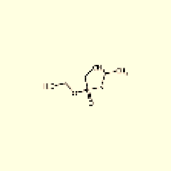 CCOP(=O)(CC)SCC